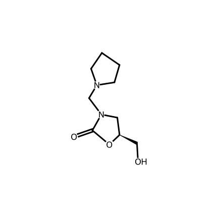 O=C1O[C@H](CO)CN1CN1CCCC1